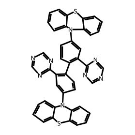 c1ccc2c(c1)Sc1ccccc1N2c1ccc(-c2ccc(N3c4ccccc4Sc4ccccc43)cc2-c2ncncn2)c(-c2ncncn2)c1